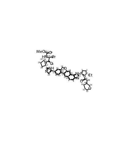 CC[C@H]1CC[C@@H](c2nc3ccc4cc5c(cc4c3[nH]2)OCc2cc(-c3cnc([C@@H]4CC[C@H](C)N4C(=O)C(NC(=O)OC)C(C)C)[nH]3)ccc2-5)N1C(=O)CC1CCCOC1